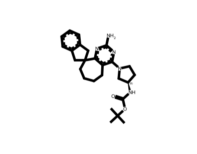 CC(C)(C)OC(=O)N[C@@H]1CCN(c2nc(N)nc3c2CCCCC32Cc3ccccc3C2)C1